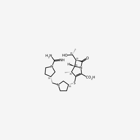 C[C@@H](O)[C@H]1C(=O)N2C(C(=O)O)=C(S[C@@H]3CCN(C[C@@H]4CCN(C(=N)N)C4)C3)[C@H](C)[C@H]12